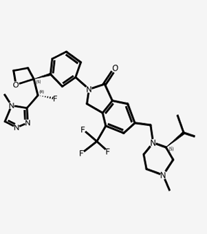 CC(C)[C@H]1CN(C)CCN1Cc1cc2c(c(C(F)(F)F)c1)CN(c1cccc([C@]3([C@H](F)c4nncn4C)CCO3)c1)C2=O